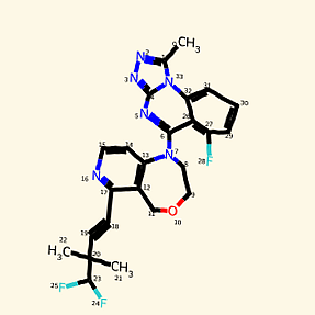 Cc1nnc2nc(N3CCOCc4c3ccnc4C#CC(C)(C)C(F)F)c3c(F)cccc3n12